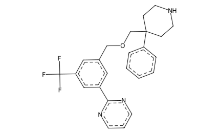 FC(F)(F)c1cc(COCC2(c3ccccc3)CCNCC2)cc(-c2ncccn2)c1